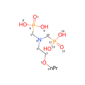 CCCOCCN(CP(=O)(O)O)CP(=O)(O)O